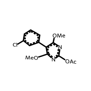 COc1nc(OC(C)=O)nc(OC)c1-c1cccc(Cl)c1